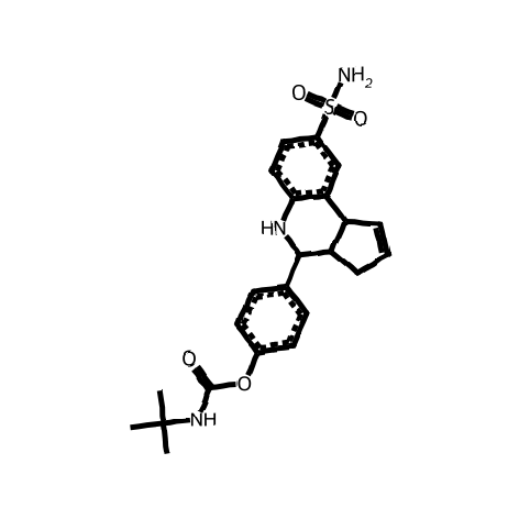 CC(C)(C)NC(=O)Oc1ccc(C2Nc3ccc(S(N)(=O)=O)cc3C3C=CCC32)cc1